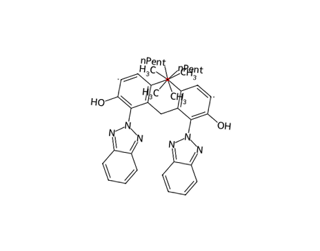 CCCCCC(C)(C)c1c[c]c(O)c(-n2nc3ccccc3n2)c1Cc1c(C(C)(C)CCCCC)c[c]c(O)c1-n1nc2ccccc2n1